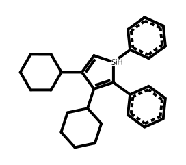 C1=C(C2CCCCC2)C(C2CCCCC2)=C(c2ccccc2)[SiH]1c1ccccc1